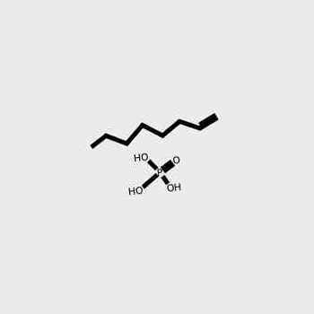 C=CCCCCCC.O=P(O)(O)O